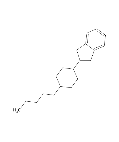 CCCCCC1CCC(C2Cc3ccccc3C2)CC1